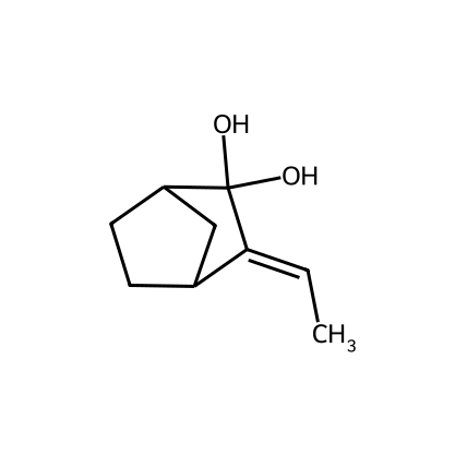 CC=C1C2CCC(C2)C1(O)O